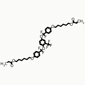 C=CC(=O)OCCCCCCOc1ccc(C(F)(F)Oc2ccc(OC(F)(F)c3ccc(OCCCCCCOC(=O)CC)cc3)c(C(F)(F)F)c2)cc1